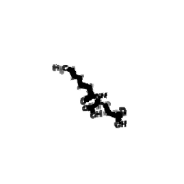 CCCCCCC(=O)N[C@H](CCC(=O)O)C(=O)O